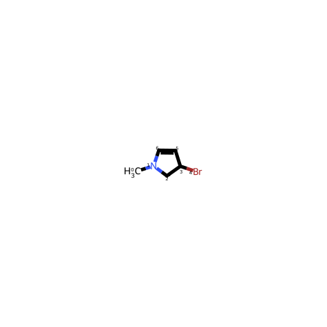 CN1[CH]C(Br)C=C1